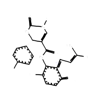 C=c1ccc(C)c(NC(=O)C2=CN(C)C(=O)N[C@H]2c2ccc(F)cc2)/c1=C/C=C(/C)N